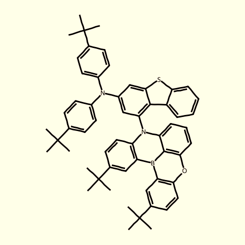 CC(C)(C)c1ccc(N(c2ccc(C(C)(C)C)cc2)c2cc(N3c4ccc(C(C)(C)C)cc4B4c5cc(C(C)(C)C)ccc5Oc5cccc3c54)c3c(c2)sc2ccccc23)cc1